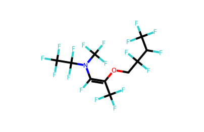 F/C(=C(/OCC(F)(F)C(F)C(F)(F)F)C(F)(F)F)N(C(F)(F)F)C(F)(F)C(F)(F)F